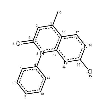 Cc1cc(=O)n(-c2ccccc2)c2nc(Cl)ncc12